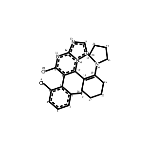 Fc1cccc(Cl)c1-c1c(Cl)nc2ncnn2c1C1=C(N2CCCC2)CCCC1